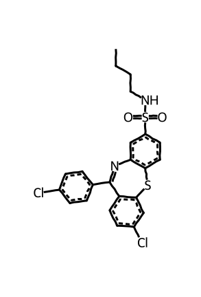 CCCCNS(=O)(=O)c1ccc2c(c1)N=C(c1ccc(Cl)cc1)c1ccc(Cl)cc1S2